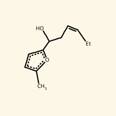 CC/C=C\CC(O)c1ccc(C)o1